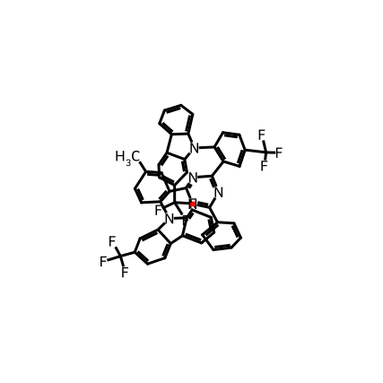 Cc1ccc(-n2c3ccccc3c3ccc(C(F)(F)F)cc32)c(-c2nc(-c3ccccc3)nc(-c3cc(C(F)(F)F)ccc3-n3c4ccccc4c4ccc(C(F)(F)F)cc43)n2)c1